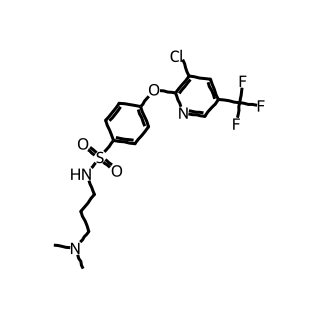 CN(C)CCCNS(=O)(=O)c1ccc(Oc2ncc(C(F)(F)F)cc2Cl)cc1